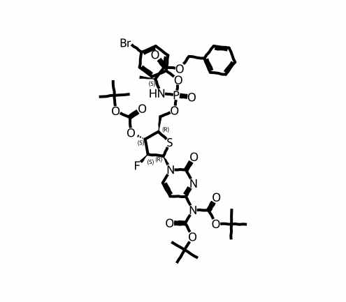 C[C@H](NP(=O)(OC[C@H]1S[C@@H](n2ccc(N(C(=O)OC(C)(C)C)C(=O)OC(C)(C)C)nc2=O)[C@@H](F)[C@@H]1OC(=O)OC(C)(C)C)Oc1ccc(Br)cc1)C(=O)OCc1ccccc1